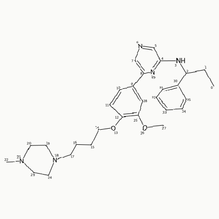 CCC(Nc1cncc(-c2ccc(OCCCCN3CCN(C)CC3)c(OC)c2)n1)c1ccccc1